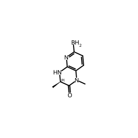 Bc1ccc2c(n1)N[C@H](C)C(=O)N2C